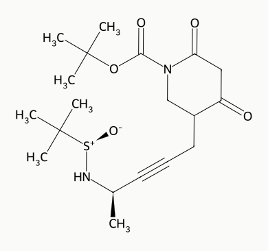 C[C@H](C#CCC1CN(C(=O)OC(C)(C)C)C(=O)CC1=O)N[S@+]([O-])C(C)(C)C